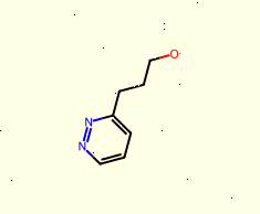 [O]CCCc1cccnn1